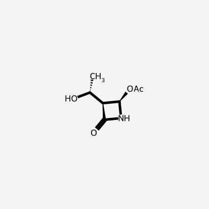 CC(=O)O[C@H]1NC(=O)[C@H]1[C@@H](C)O